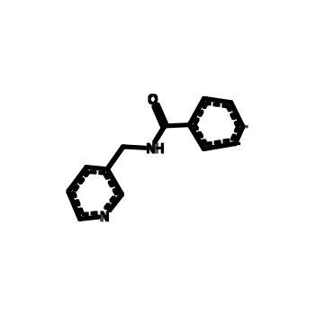 O=C(NCc1cccnc1)c1c[c][c]cc1